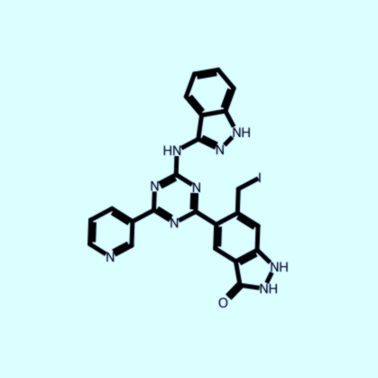 O=c1[nH][nH]c2cc(CI)c(-c3nc(Nc4n[nH]c5ccccc45)nc(-c4cccnc4)n3)cc12